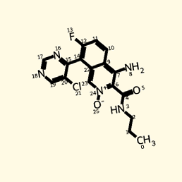 CCCNC(=O)c1c(N)c2ccc(F)c(-c3ncncc3Cl)c2c[n+]1[O-]